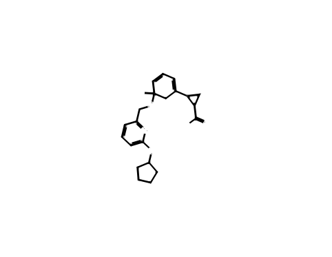 O=C(O)C1CC1C1=CC=CC(F)(OCc2cccc(SC3CCCC3)n2)C1